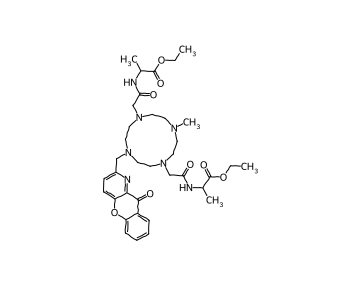 CCOC(=O)C(C)NC(=O)CN1CCN(C)CCN(CC(=O)NC(C)C(=O)OCC)CCN(Cc2ccc3oc4ccccc4c(=O)c3n2)CC1